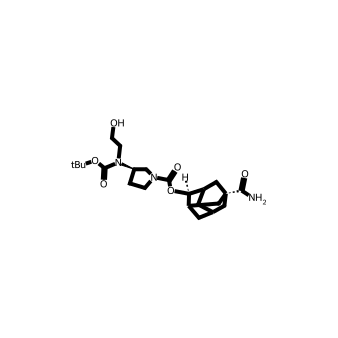 CC(C)(C)OC(=O)N(CCO)[C@@H]1CCN(C(=O)O[C@H]2C3CC4CC2C[C@](C(N)=O)(C4)C3)C1